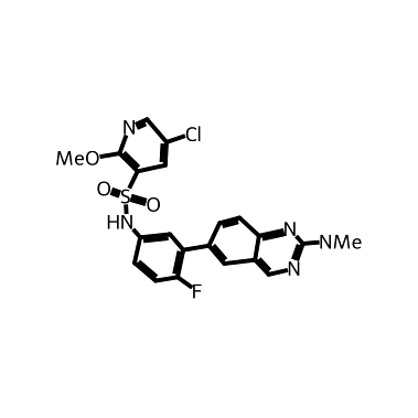 CNc1ncc2cc(-c3cc(NS(=O)(=O)c4cc(Cl)cnc4OC)ccc3F)ccc2n1